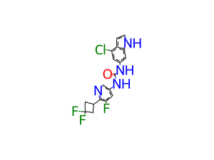 O=C(Nc1cnc(C2CC(F)(F)C2)c(F)c1)Nc1cc(Cl)c2cc[nH]c2c1